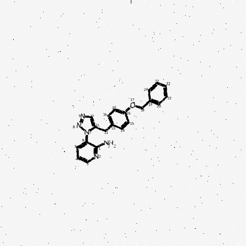 Nc1ncccc1-n1nncc1Cc1ccc(OCc2ccccc2)cc1